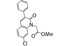 COC(=O)Cn1c(=O)c(-c2ccccc2)cc2ccc(Cl)cc21